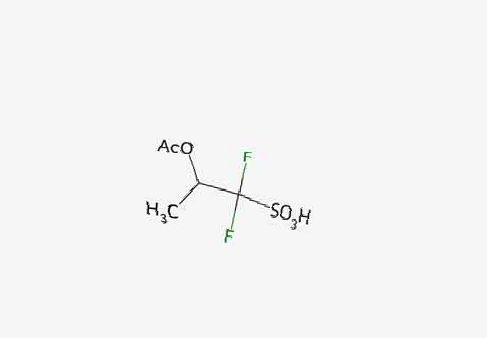 CC(=O)OC(C)C(F)(F)S(=O)(=O)O